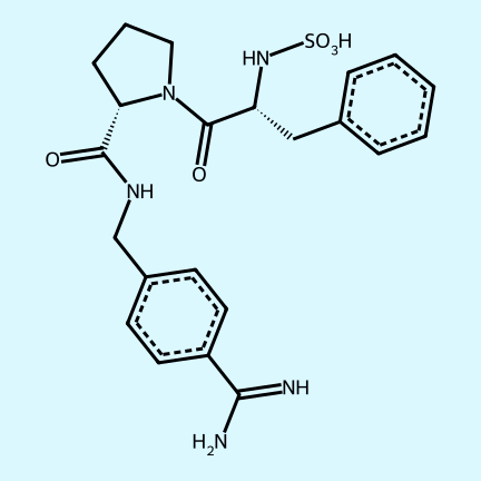 N=C(N)c1ccc(CNC(=O)[C@@H]2CCCN2C(=O)[C@@H](Cc2ccccc2)NS(=O)(=O)O)cc1